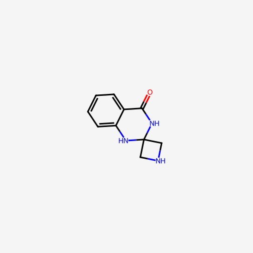 O=C1NC2(CNC2)Nc2ccccc21